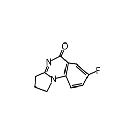 O=c1nc2n(c3ccc(F)cc13)CCC2